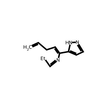 C=CC/C=C(\N=C/CC)c1ccn[nH]1